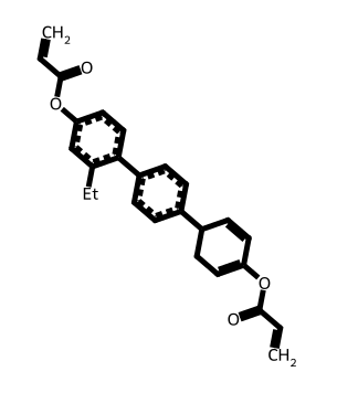 C=CC(=O)OC1=CCC(c2ccc(-c3ccc(OC(=O)C=C)cc3CC)cc2)C=C1